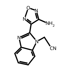 N#CCn1c(-c2nonc2N)nc2ccccc21